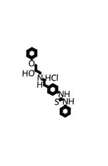 Cl.OC(CNCCc1ccc(NC(=S)Nc2ccccc2)cc1)COc1ccccc1